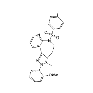 COc1ccccc1-n1nc2c(c1C)CCN(S(=O)(=O)c1ccc(C)cc1)c1ncccc1-2